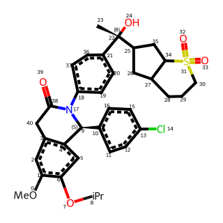 COc1cc2c(cc1OC(C)C)[C@H](c1ccc(Cl)cc1)N(c1ccc([C@](C)(O)C3CC4CCCS(=O)(=O)C4C3)cc1)C(=O)C2